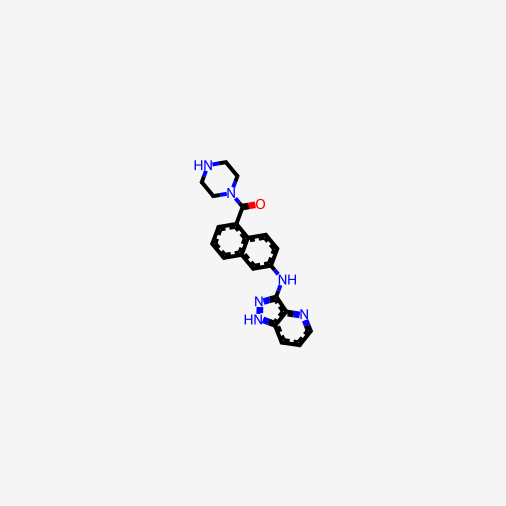 O=C(c1cccc2cc(Nc3n[nH]c4cccnc34)ccc12)N1CCNCC1